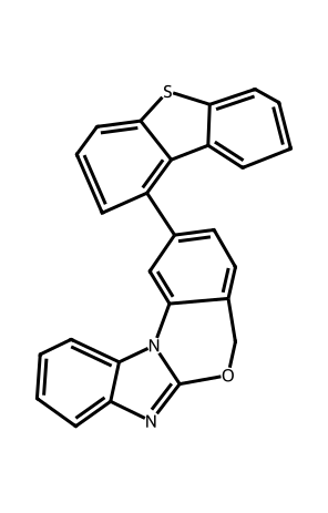 c1ccc2c(c1)nc1n2-c2cc(-c3cccc4sc5ccccc5c34)ccc2CO1